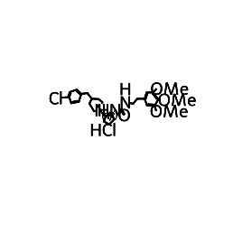 COc1cc(CCNC(=O)N[C@@H]2CCC[C@H]2N2CCC(Cc3ccc(Cl)cc3)CC2)cc(OC)c1OC.Cl